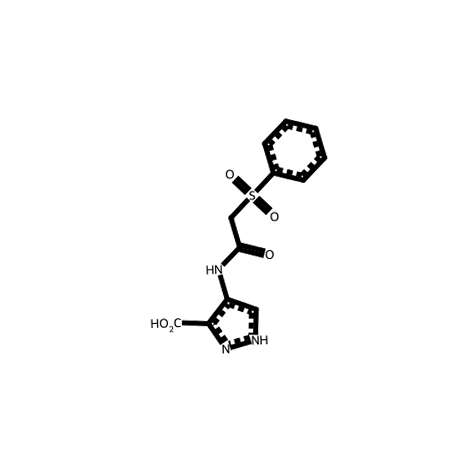 O=C(CS(=O)(=O)c1ccccc1)Nc1c[nH]nc1C(=O)O